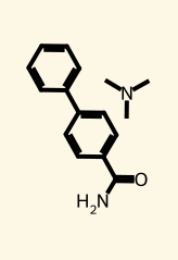 CN(C)C.NC(=O)c1ccc(-c2ccccc2)cc1